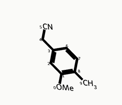 COc1cc(CC#N)ccc1C